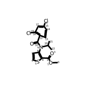 COC(=O)c1sccc1N(C(=O)c1ccc(Cl)cc1Cl)C(C)C